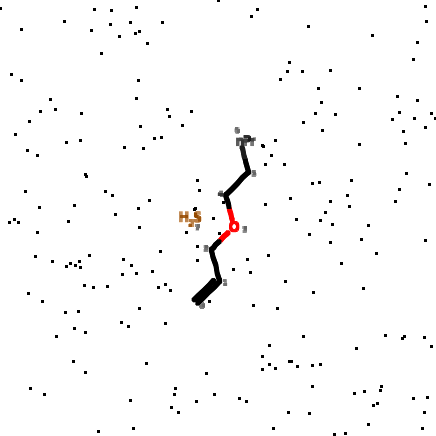 C=CCOCCCCC.S